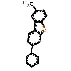 Cc1ccc2sc3cc(-c4ccccc4)ccc3c2c1